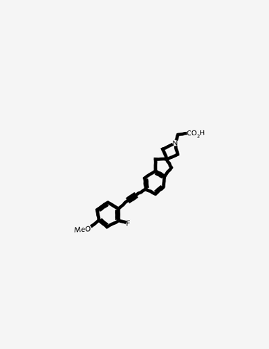 COc1ccc(C#Cc2ccc3c(c2)CC2(C3)CN(CC(=O)O)C2)c(F)c1